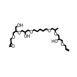 C=CCOCC(O)COC(C)COCCCCCOCC(O)COC(CO)COCC1CO1